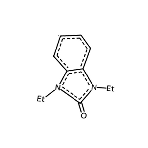 CCn1c(=O)n(CC)c2cc[c]cc21